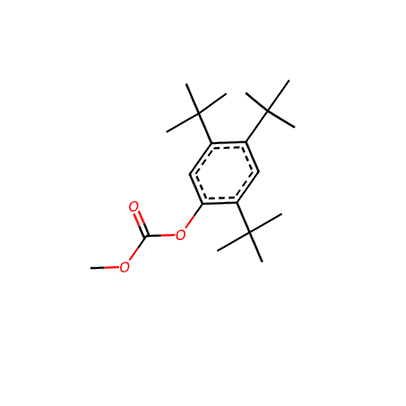 COC(=O)Oc1cc(C(C)(C)C)c(C(C)(C)C)cc1C(C)(C)C